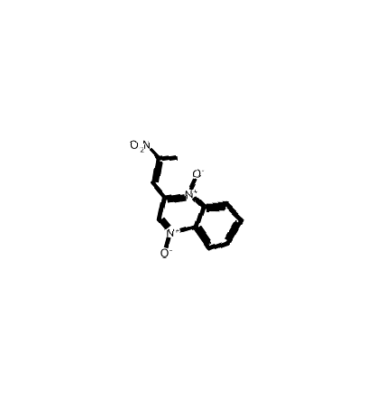 CC(=Cc1c[n+]([O-])c2ccccc2[n+]1[O-])[N+](=O)[O-]